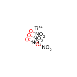 O=[N+]([O-])[O-].O=[N+]([O-])[O-].O=[N+]([O-])[O-].O=[N+]([O-])[O-].[Ti+4]